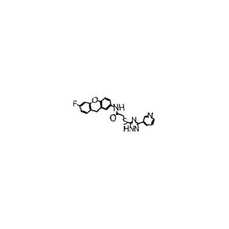 O=C(CSc1nc(-c2cccnc2)n[nH]1)Nc1ccc2c(c1)Cc1ccc(F)cc1O2